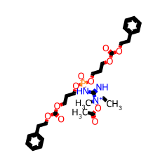 CC[N+](C)(OC(C)=O)C(=N)NP(=O)(OCCCOC(=O)OCCc1ccccc1)OCCCOC(=O)OCCc1ccccc1